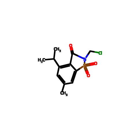 Cc1cc(C(C)C)c2c(c1)S(=O)(=O)N(CCl)C2=O